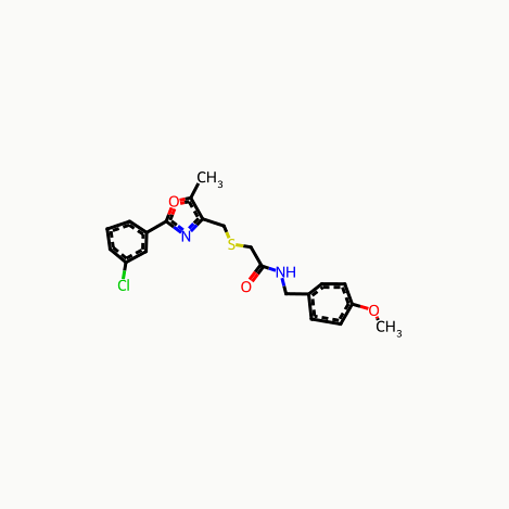 COc1ccc(CNC(=O)CSCc2nc(-c3cccc(Cl)c3)oc2C)cc1